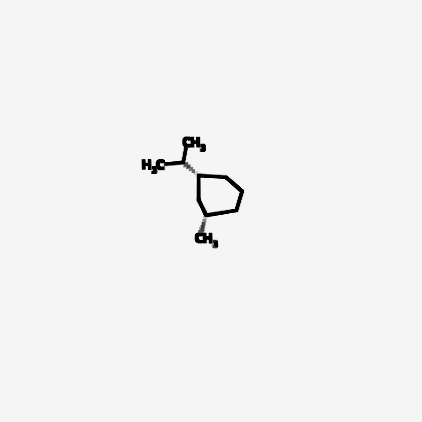 CC(C)[C@@H]1CCC[C@H](C)C1